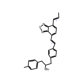 C/C=C/c1ccc(/C=C/c2ccc(CC(Cc3ccc(C)cc3)C(C)(C)C)cc2)c2nsnc12